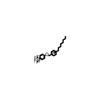 CCCCCCCCC12CCC(COc3ccc(S(F)(F)(F)(F)F)cc3)(CC1)CC2